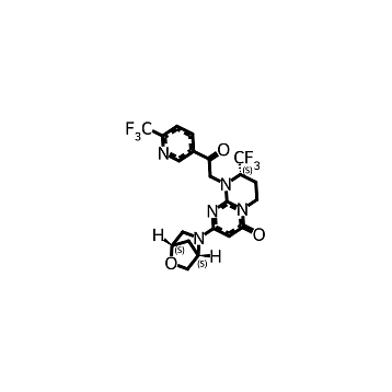 O=C(CN1c2nc(N3C[C@@H]4C[C@H]3CO4)cc(=O)n2CC[C@H]1C(F)(F)F)c1ccc(C(F)(F)F)nc1